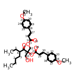 CCCCC(CC)C(=O)C(CO)(COC(=O)C=Cc1ccc(OC)cc1)OC(=O)C=Cc1ccc(OC)cc1